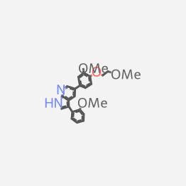 COCCOc1ccc(-c2cnc3[nH]cc(-c4ccccc4OC)c3c2)cc1OC